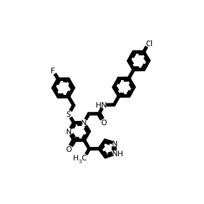 CC(c1cn[nH]c1)c1cn(CC(=O)NCc2ccc(-c3ccc(Cl)cc3)cc2)c(SCc2ccc(F)cc2)nc1=O